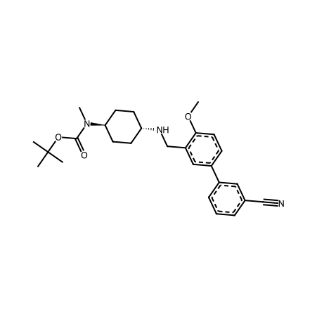 COc1ccc(-c2cccc(C#N)c2)cc1CN[C@H]1CC[C@H](N(C)C(=O)OC(C)(C)C)CC1